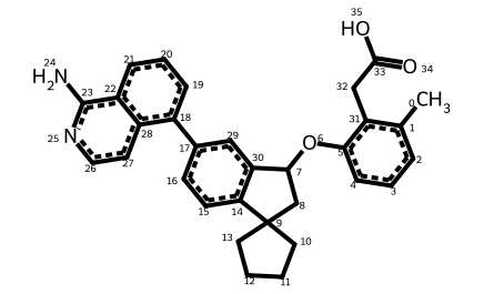 Cc1cccc(OC2CC3(CCCC3)c3ccc(-c4cccc5c(N)nccc45)cc32)c1CC(=O)O